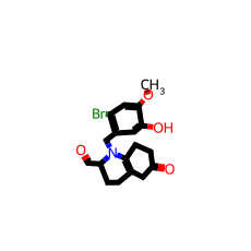 COc1cc(Br)c(CN2C3=C(CCC2C=O)CC(=O)CC3)cc1O